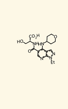 CCn1ncc2c(NC3CCOCC3)c(C(=O)N[C@@H](CO)C(=O)O)cnc21